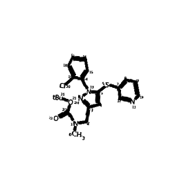 CN(Cc1cc(Sc2cccnc2)n(-c2ccccc2Cl)n1)C(=O)OC(C)(C)C